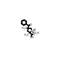 CCCC(=O)[C@@]1(C)CC(C)(C(=O)c2ccccc2)C[N+]1(Cl)C(=O)O